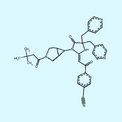 CC(C)(C)CC(=O)N1CC2C(C1)C2N1C(=O)C(Cc2ccncc2)(Cc2ccncc2)NC1=CC(=O)c1ccc(C#N)cc1